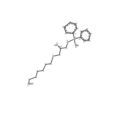 CCCCCCCCCCCCCCCCOC[C@@H](O)CO[Si](c1ccccc1)(c1ccccc1)C(C)(C)C